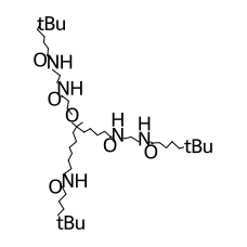 CC(C)(C)CCCCC(=O)NCCCCCCCC(C)(CCCCC(=O)NCCCNC(=O)CCCCC(C)(C)C)COCCC(=O)NCCCNC(=O)CCCCC(C)(C)C